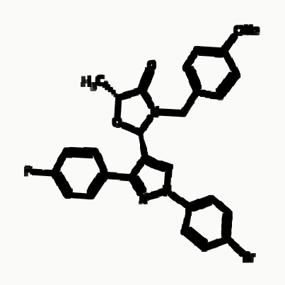 COc1ccc(CN2C(=O)[C@@H](C)O[C@@H]2c2cn(-c3ccc(Br)cc3)nc2-c2ccc(F)cc2)cc1